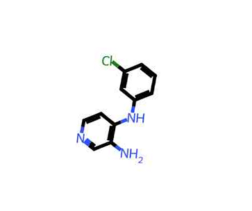 Nc1cnccc1Nc1cccc(Cl)c1